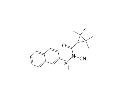 C[C@H](c1ccc2ccccc2c1)N(C#N)C(=O)C1C(C)(C)C1(C)C